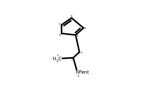 CCCCCC(C)CC1=CC=CC1